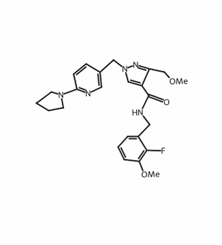 COCc1nn(Cc2ccc(N3CCCC3)nc2)cc1C(=O)NCc1cccc(OC)c1F